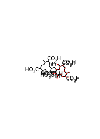 CCCC(C(=O)O)C(C)CCC(C(=O)O)C(C)CCC(C(=O)O)C(C)CCC(C(=O)O)C(C)CCC(C(=O)O)C(C)CCC(C(=O)O)C(C)CCC(C(=O)O)C(C)CCC(C(=O)O)C(C)CCC(C(=O)O)C(C)CCC(C(=O)O)C(C)C